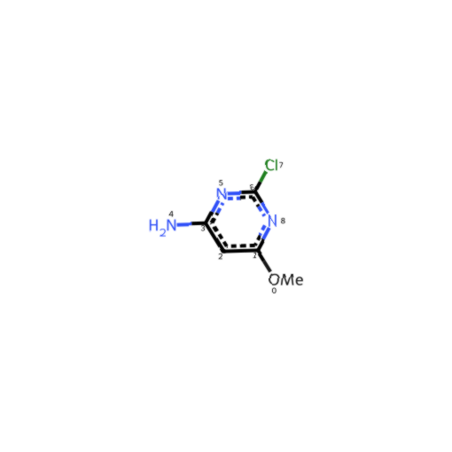 COc1cc(N)nc(Cl)n1